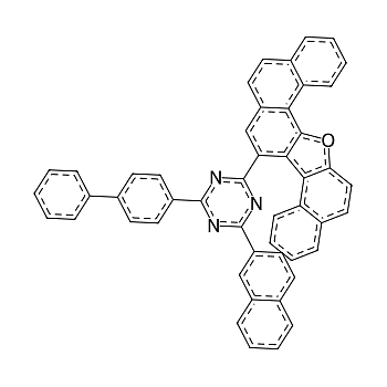 c1ccc(-c2ccc(-c3nc(-c4ccc5ccccc5c4)nc(-c4cc5ccc6ccccc6c5c5oc6ccc7ccccc7c6c45)n3)cc2)cc1